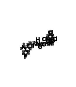 CN(C)C(c1ccc(F)cc1)C1CCC(CCNC(=O)COCCN(C)S(=O)(=O)c2c(Cl)cc(Cl)cc2Cl)CC1